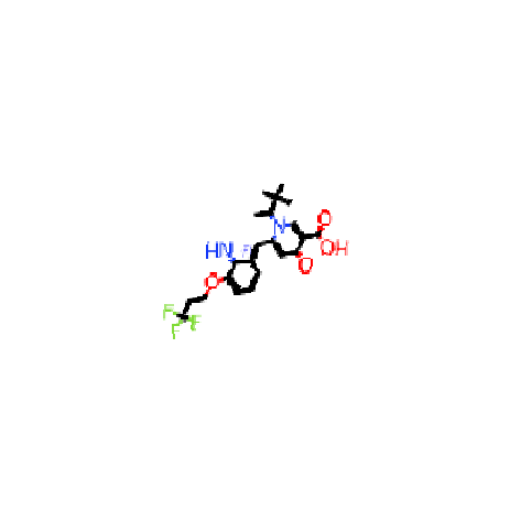 CC(n1cc(C(=O)O)c(=O)cc1/C=C1\C=CC=C(OCCC(F)(F)F)C1=N)C(C)(C)C